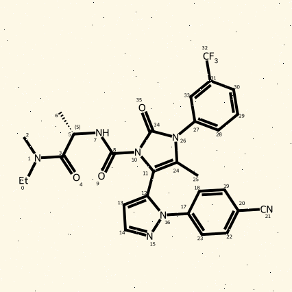 CCN(C)C(=O)[C@H](C)NC(=O)n1c(-c2ccnn2-c2ccc(C#N)cc2)c(C)n(-c2cccc(C(F)(F)F)c2)c1=O